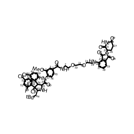 COc1cc(C(=O)NCCOCCOCCNc2cccc3c2C(=O)N(C2CCC(=O)NC2=O)C3=O)ccc1NC(=O)C1N[C@@H](CC(C)(C)C)C(C#N)(c2ccc(Cl)cc2F)C1c1cccc(Cl)c1F